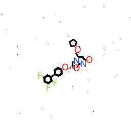 O=c1cc(COC2CCCC2)n2c(n1)O[C@H](COc1ccc(-c3cc(F)cc(F)c3F)cc1)C2